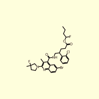 CCCC(F)OC(=O)CCC(CNC(=O)c1c(C)c(N2CCC(C)(F)C2)nc2ccc(Br)cc12)c1ccccc1Cl